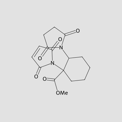 COC(=O)C1(N2C(=O)C=CC2=O)CCCCC1N1C(=O)CCC1=O